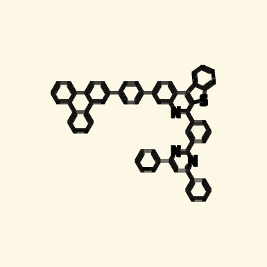 c1ccc(-c2cc(-c3ccccc3)nc(-c3cccc(-c4nc5cc(-c6ccc(-c7ccc8c9ccccc9c9ccccc9c8c7)cc6)ccc5c5c4sc4ccccc45)c3)n2)cc1